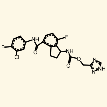 O=C(N[C@H]1CCc2c(C(=O)Nc3ccc(F)c(Cl)c3)ccc(F)c21)OCc1nc[nH]n1